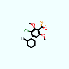 COc1ccc(Cl)c(OC)c1C(=O)P.[Li][CH]1CCCCC1